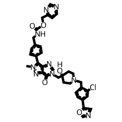 Cn1nc2c(=O)n(CC3(O)CCN(Cc4ccc(-c5cnco5)cc4Cl)CC3)cnc2c1-c1ccc(CNC(=O)OCc2ccncn2)cc1